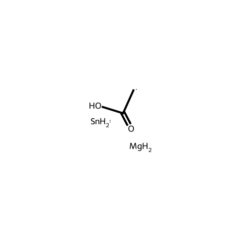 [CH2]C(=O)O.[MgH2].[SnH2]